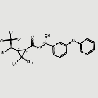 CC1(C)[C@H](C(=O)O[C@H](C#N)c2cccc(Oc3ccccc3)c2)[C@@H]1C(Br)C(Cl)(Cl)Br